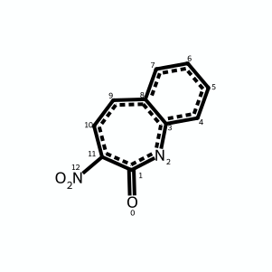 O=c1nc2ccccc2ccc1[N+](=O)[O-]